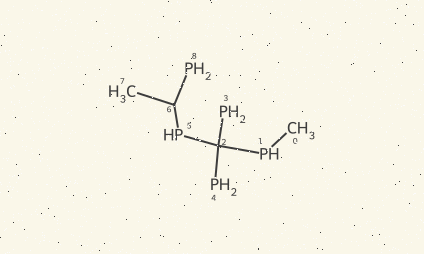 CPC(P)(P)PC(C)P